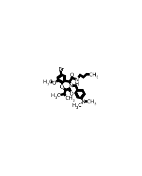 CCCCNC(=O)C1c2cc(Br)cc(OC)c2OC(C(C)C)C(=O)N1Cc1ccc(N(C)C)cc1